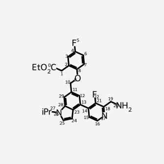 CCOC(=O)Cc1cc(F)ccc1OCc1cc(-c2ccnc(CN)c2F)c2ccn(C(C)C)c2c1